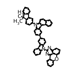 CC1(C)c2ccccc2-c2cc(-n3c4ccc(-c5ccc6c(c5)c5ccccc5n6-c5nc6c7c(cccc7n5)Oc5ccccc5-6)cc4c4c5ccccc5ccc43)ccc21